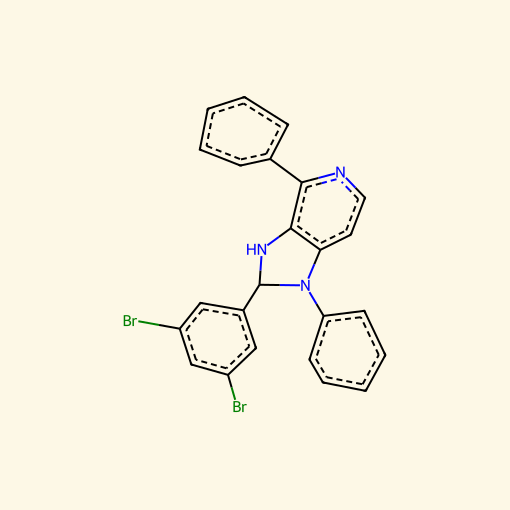 Brc1cc(Br)cc(C2Nc3c(ccnc3-c3ccccc3)N2c2ccccc2)c1